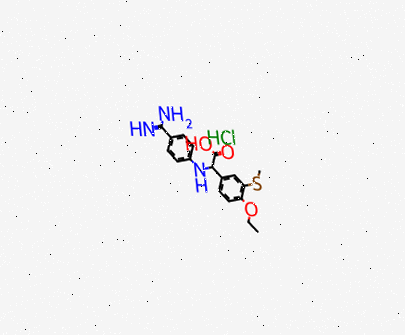 CCOc1ccc(C(Nc2ccc(C(=N)N)cc2)C(=O)O)cc1SC.Cl